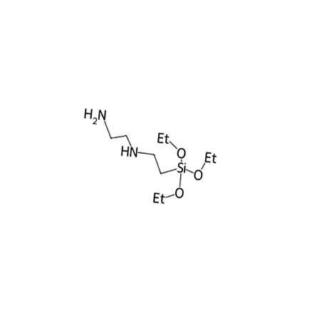 CCO[Si](CCNCCN)(OCC)OCC